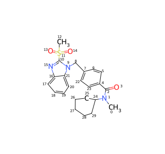 CN(C(=O)c1ccc(Cn2c(S(C)(=O)=O)nc3ccccc32)cc1)C1CCCCC1